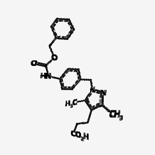 Cc1nn(Cc2ccc(NC(=O)OCc3ccccc3)cc2)c(C)c1CCC(=O)O